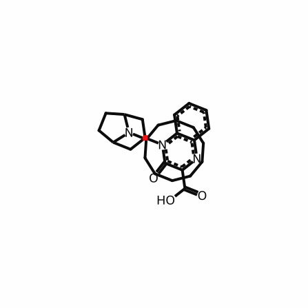 O=C(O)c1nc2ccccc2n(C2CC3CCC(C2)N3C2CCCCCCCCC2)c1=O